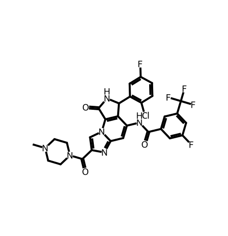 CN1CCN(C(=O)c2cn3c4c(c(NC(=O)c5cc(F)cc(C(F)(F)F)c5)cc3n2)C(c2cc(F)ccc2Cl)NC4=O)CC1